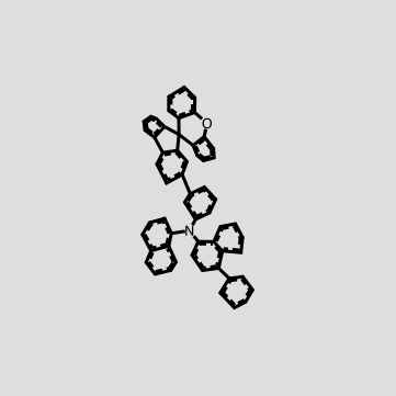 c1ccc(-c2ccc(N(c3cccc(-c4ccc5c(c4)C4(c6ccccc6Oc6ccccc64)c4ccccc4-5)c3)c3cccc4ccccc34)c3ccccc23)cc1